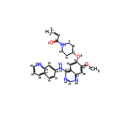 C=CC(=O)N1CCC(Oc2cc3c(Nc4ccc5cccnc5c4)ncnc3cc2OC)CC1